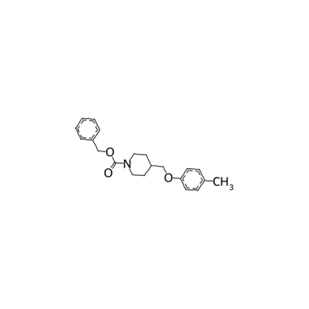 Cc1ccc(OCC2CCN(C(=O)OCc3ccccc3)CC2)cc1